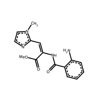 COC(=O)/C(=C\c1nccn1C)NC(=O)c1ccccc1N